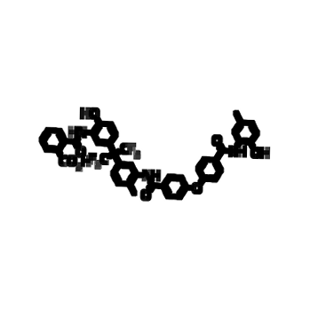 Cc1ccc(O)c(NC(=O)c2ccc(Oc3ccc(C(=O)Nc4cc(C(c5ccc(O)c(NC(=O)c6ccccc6C(=O)O)c5)(C(F)(F)F)C(F)(F)F)ccc4C)cc3)cc2)c1